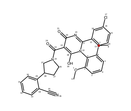 COc1cccc(OC)c1-n1c(-c2cccc(Cl)c2)nc(=O)c(C(=O)N2CCC(c3ccccc3C#N)C2)c1O